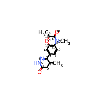 CC1CC(=O)NN=C1c1ccc2c(c1)OC(C)C(=O)N2C